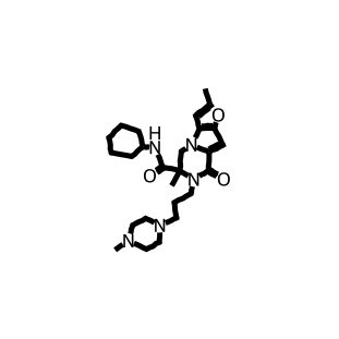 Cc1cc2c(cc3n2CC(C)(C(=O)NC2CCCCC2)N(CCCN2CCN(C)CC2)C3=O)o1